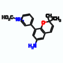 CC1(C)C=Cc2cc(N)cc(-c3ccccc3)c2O1.NC(=O)O